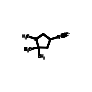 [C-]#[N+]C1CN(C)C(C)(C)C1